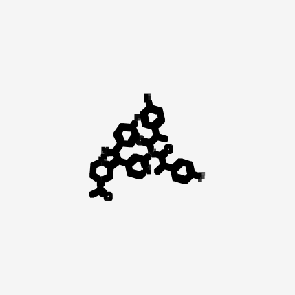 CC(=O)N1CCn2nc(-c3ccc(F)cc3)c(-c3ccnc(N(C(=O)C(C)c4ccc(F)cc4)C(=O)C(C)c4ccc(F)cc4)c3)c2C1